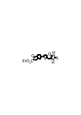 CCOC(=O)N1Cc2cc(-c3ccc(/C=C4/NC(=S)NC4=O)s3)ccc2C1=O